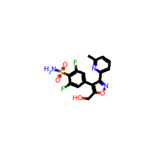 Cc1cccc(-c2noc(CO)c2-c2cc(F)c(S(N)(=O)=O)c(F)c2)n1